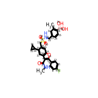 CNC(=O)c1c(-c2ccc(F)cc2)oc2cc(CS(=O)(=O)NCc3ccc(B(O)O)c(C)c3)c(C3CC3)cc12